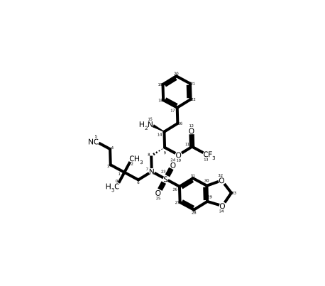 CC(C)(CCC#N)CN(C[C@@H](OC(=O)C(F)(F)F)[C@@H](N)Cc1ccccc1)S(=O)(=O)c1ccc2c(c1)OCO2